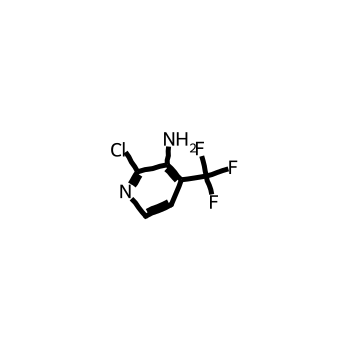 Nc1c(C(F)(F)F)ccnc1Cl